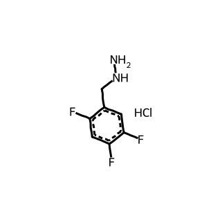 Cl.NNCc1cc(F)c(F)cc1F